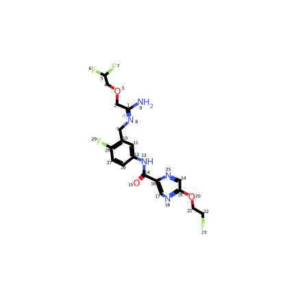 N/C(COCC(F)F)=N/Cc1cc(NC(=O)c2cnc(OCCF)cn2)ccc1F